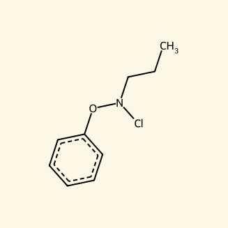 CCCN(Cl)Oc1ccccc1